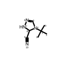 CC(C)(C)N1C=NNC1C#N